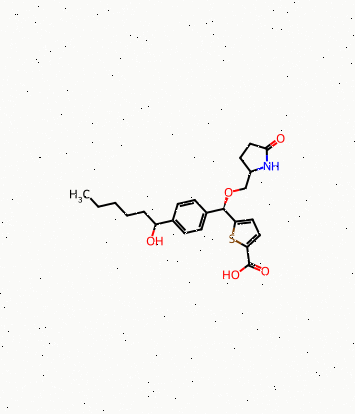 CCCCCC(O)c1ccc([C@@H](OCC2CCC(=O)N2)c2ccc(C(=O)O)s2)cc1